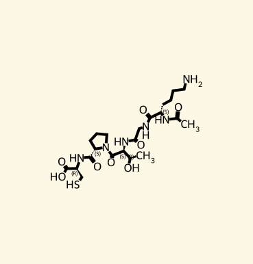 CC(=O)N[C@@H](CCCCN)C(=O)NCC(=O)N[C@H](C(=O)N1CCC[C@H]1C(=O)N[C@@H](CS)C(=O)O)[C@@H](C)O